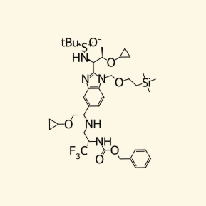 C[C@@H](OC1CC1)[C@H](N[S@+]([O-])C(C)(C)C)c1nc2cc([C@@H](COC3CC3)NC[C@H](NC(=O)OCc3ccccc3)C(F)(F)F)ccc2n1COCC[Si](C)(C)C